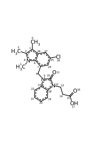 Cc1c(C)n(C)c2c(Cn3c(=O)n(CCC(=O)O)c4ccccc43)cc(Cl)cc12